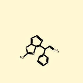 C=CC(c1ccccc1)c1cccc2sc(S)nc12